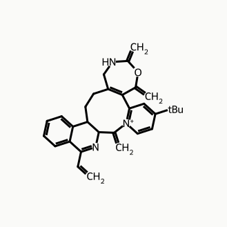 C=CC1=NC2C(=C)[n+]3ccc(C(C)(C)C)cc3C3=C(CCC2c2ccccc21)CNC(=C)OC3=C